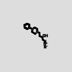 [N-]=[N+]=NCC(O)CCN1CCN(c2ccccc2)CC1